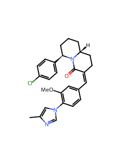 COc1cc(C=C2CC[C@H]3CCC[C@H](c4ccc(Cl)cc4)N3C2=O)ccc1-n1cnc(C)c1